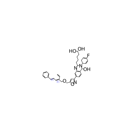 C=C/C(=C\C=C\c1ccccc1)COCc1cc(-c2ccc3c(c2)N=C(CCCCC(O)O)N(C2C=CC(F)=CC2)C3O)no1